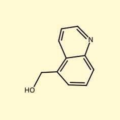 OCc1cccc2ncccc12